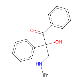 CC(C)NCC(O)(C(=O)c1ccccc1)c1ccccc1